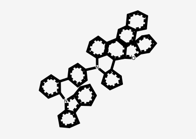 c1cc(-c2ccc3ccccc3c2)cc(N(c2ccc(-c3ccccc3-n3c4ccccc4c4ccccc43)cc2)c2ccccc2-c2cccc3c2oc2ccccc23)c1